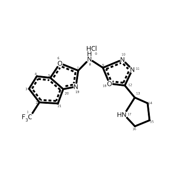 Cl.FC(F)(F)c1ccc2oc(Nc3nnc(C4CCCN4)o3)nc2c1